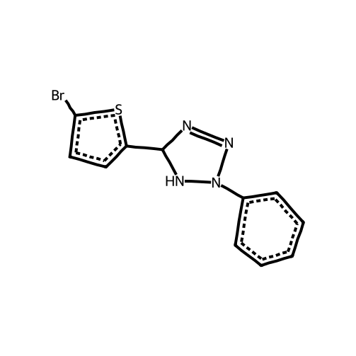 Brc1ccc(C2N=NN(c3ccccc3)N2)s1